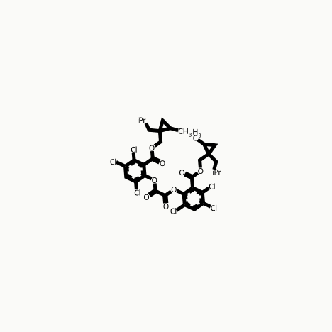 CC(C)CC1(COC(=O)c2c(Cl)c(Cl)cc(Cl)c2OC(=O)C(=O)Oc2c(Cl)cc(Cl)c(Cl)c2C(=O)OCC2(CC(C)C)CC2C)CC1C